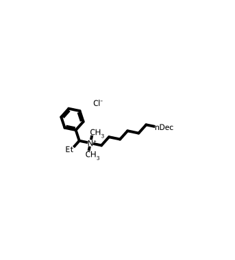 CCCCCCCCCCCCCCCC[N+](C)(C)C(CC)c1ccccc1.[Cl-]